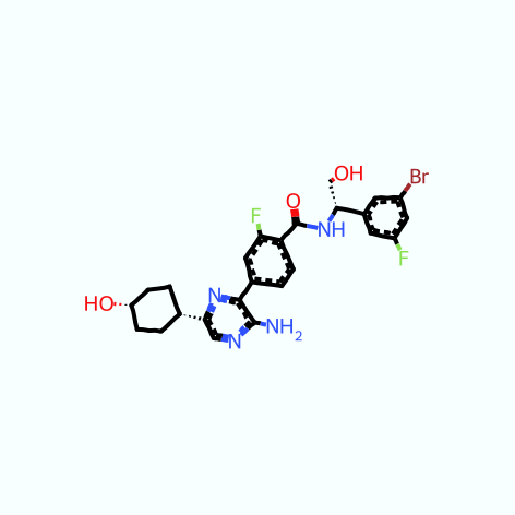 Nc1ncc([C@H]2CC[C@@H](O)CC2)nc1-c1ccc(C(=O)N[C@H](CO)c2cc(F)cc(Br)c2)c(F)c1